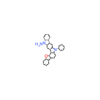 NN1c2cc3c4c5oc6ccccc6c5ccc4n(-c4ccccc4)c3cc2C2C=CC=CC21